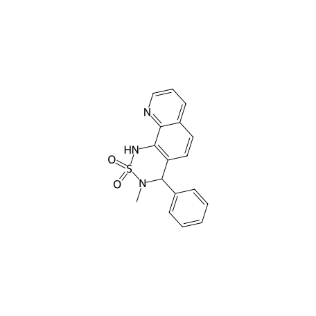 CN1C(c2ccccc2)c2ccc3cccnc3c2NS1(=O)=O